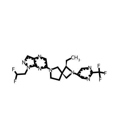 CC[C@H]1N(c2cnc(C(F)(F)F)nc2)C[C@]12CCN(c1cnc3cnn(CC(F)F)c3n1)C2